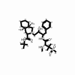 CN[C@H](C(=O)NC(Cc1ccccc1)C(O)CN1C[C@H]2CCCC[C@H]2CC1C(=O)NC(C)(C)C)C(C)(C)S(C)(=O)=O